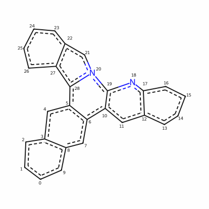 c1ccc2cc3c(cc2c1)c1cc2ccccc2nc1n1cc2ccccc2c31